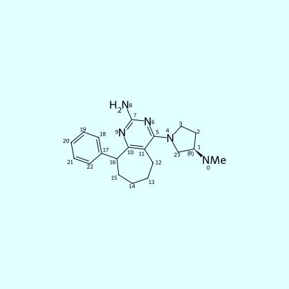 CN[C@@H]1CCN(c2nc(N)nc3c2CCCCC3c2ccccc2)C1